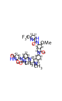 COc1cc2c(cc1NC(=O)c1cccc(C(F)(F)F)n1)CN([C@H]1CC[C@H](CN(C)C3CCN(c4cccc5c4n(C)c(=O)n5C4CCC(=O)NC4=O)CC3)CC1)C2=O